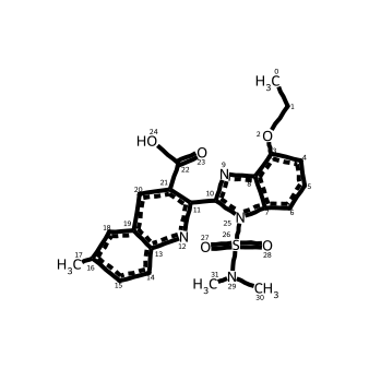 CCOc1cccc2c1nc(-c1nc3ccc(C)cc3cc1C(=O)O)n2S(=O)(=O)N(C)C